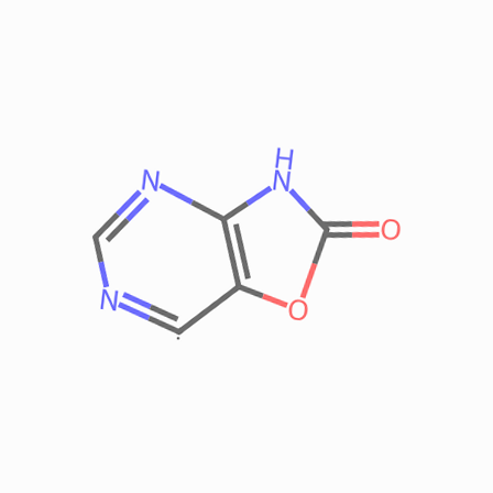 O=c1[nH]c2ncn[c]c2o1